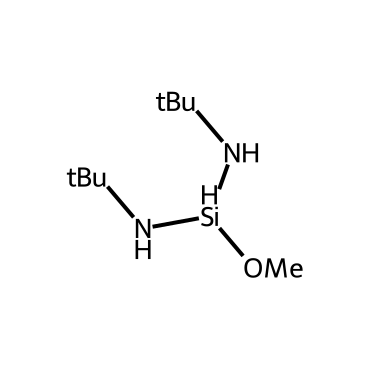 CO[SiH](NC(C)(C)C)NC(C)(C)C